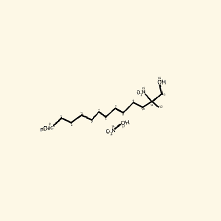 CCCCCCCCCCCCCCCCCCCCC(C)(CO)[N+](=O)[O-].O=[N+]([O-])O